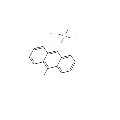 CC[Si](OC)(OC)OC.O=C(O)c1c2ccccc2cc2ccccc12